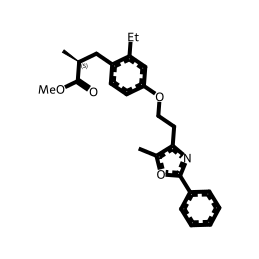 CCc1cc(OCCc2nc(-c3ccccc3)oc2C)ccc1C[C@H](C)C(=O)OC